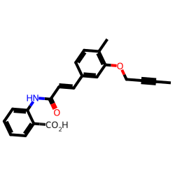 CC#CCOc1cc(/C=C/C(=O)Nc2ccccc2C(=O)O)ccc1C